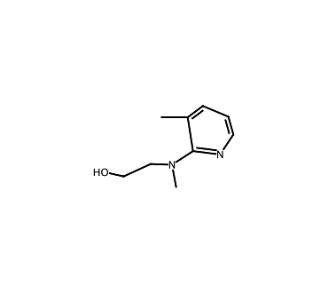 Cc1cccnc1N(C)CCO